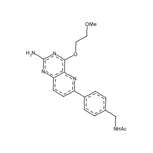 COCCOc1nc(N)nc2ccc(-c3ccc(CNC(C)=O)cc3)nc12